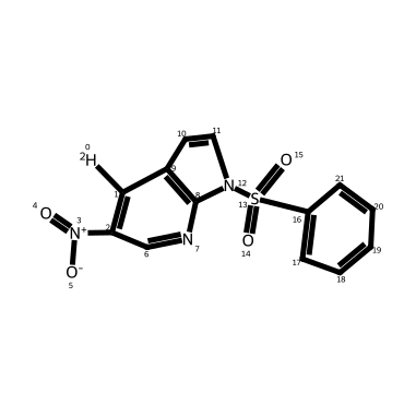 [2H]c1c([N+](=O)[O-])cnc2c1ccn2S(=O)(=O)c1ccccc1